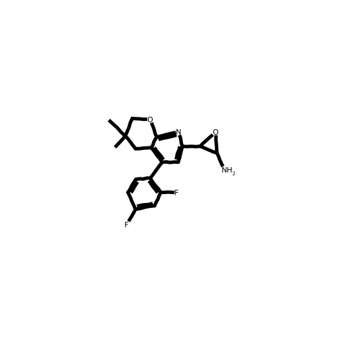 CC1(C)COc2nc(C3OC3N)cc(-c3ccc(F)cc3F)c2C1